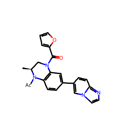 CC(=O)N1c2ccc(-c3ccc4nccn4c3)cc2N(C(=O)c2ccco2)C[C@@H]1C